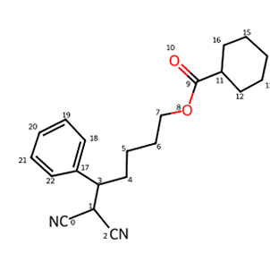 N#CC(C#N)C(CCCCOC(=O)C1CCCCC1)c1ccccc1